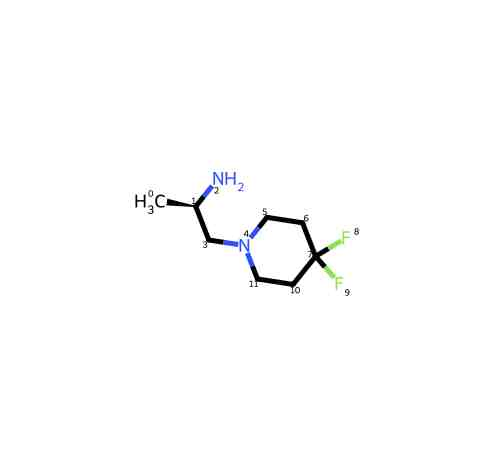 C[C@@H](N)CN1CCC(F)(F)CC1